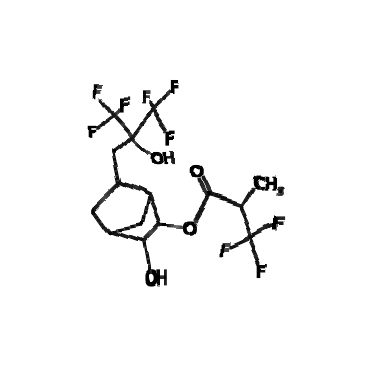 CC(C(=O)OC1C(O)C2CC(CC(O)(C(F)(F)F)C(F)(F)F)C1C2)C(F)(F)F